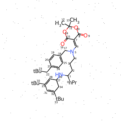 CCCC(CCCN(C=C1C(=O)OC(C)(C)OC1=O)Cc1ccc(CC(C)(C)C)cc1)NC1C=C(C(C)(C)C)C=C(C(C)(C)C)C1